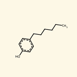 CC[CH]CCCc1ccc(O)cc1